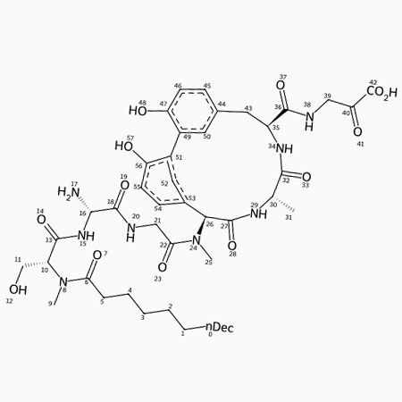 CCCCCCCCCCCCCCCC(=O)N(C)[C@H](CO)C(=O)N[C@H](N)C(=O)NCC(=O)N(C)[C@@H]1C(=O)N[C@@H](C)C(=O)N[C@H](C(=O)NCC(=O)C(=O)O)Cc2ccc(O)c(c2)-c2cc1ccc2O